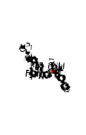 CCCOCCCn1ncc2c(F)c(-n3ccn(-c4c5c(nn4-c4cc(C)c(F)c(C)c4)CCN(C(=O)c4cc6cc(C7CCOCC7)ccc6n4[C@@]4(c6noc(=O)[nH]6)C[C@@H]4C)[C@H]5C)c3=O)ccc21